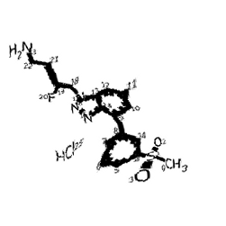 CS(=O)(=O)c1cccc(-c2cccc3c2nnn3C/C(F)=C/CN)c1.Cl